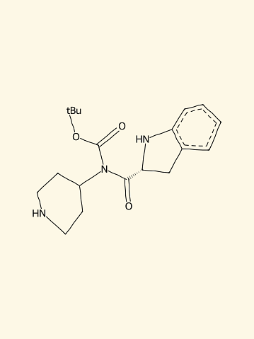 CC(C)(C)OC(=O)N(C(=O)[C@H]1Cc2ccccc2N1)C1CCNCC1